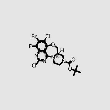 CC(C)(C)OC(=O)N1CCN2c3nc(Cl)nc4c(F)c(Br)c(Cl)c(c34)OC[C@H]2C1